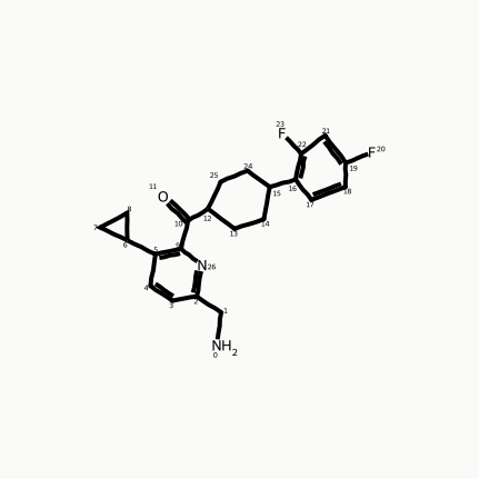 NCc1ccc(C2CC2)c(C(=O)C2CCC(c3ccc(F)cc3F)CC2)n1